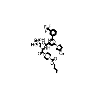 CCCCOC(=O)N1CCN(C(=O)[C@H](CCP(=O)(O)O)NC(=O)c2cc(N3CC[C@H](OC)C3)nc(-c3cccc(C(F)(F)F)c3)n2)CC1